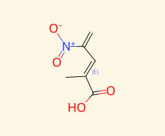 C=C(/C=C(\C)C(=O)O)[N+](=O)[O-]